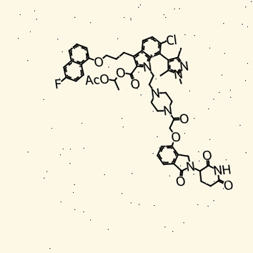 CC(=O)OC(C)OC(=O)c1c(CCCOc2cccc3cc(F)ccc23)c2ccc(Cl)c(-c3c(C)nn(C)c3C)c2n1CCN1CCN(C(=O)COc2cccc3c2CN(C2CCC(=O)NC2=O)C3=O)CC1